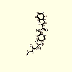 CCCC(=O)Nc1nc2ccc(NC(=O)c3cc4ccccc4o3)cc2s1